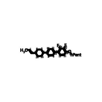 C/C=C/C1CCC(c2ccc(-c3ccc(OCCCCC)c(F)c3F)cc2)CC1